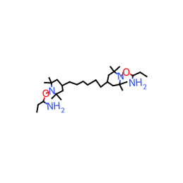 CCC(N)ON1C(C)(C)CC(CCCCCCC2CC(C)(C)N(OC(N)CC)C(C)(C)C2)CC1(C)C